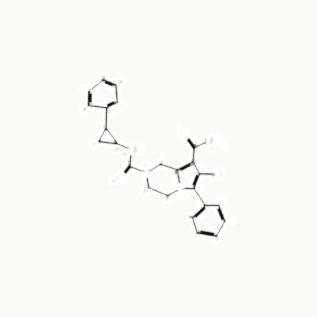 NC(=O)c1c(Cl)c(-c2ccccc2)n2c1CN(C(=O)NC1CC1c1ccccc1)CC2